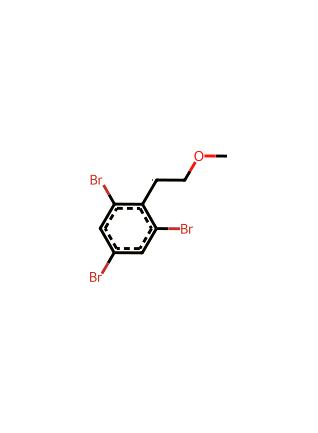 COC[CH]c1c(Br)cc(Br)cc1Br